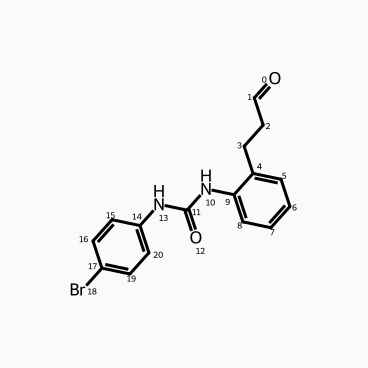 O=CCCc1ccccc1NC(=O)Nc1ccc(Br)cc1